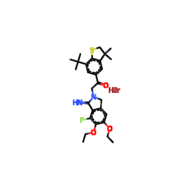 Br.CCOc1cc2c(c(F)c1OCC)C(=N)N(CC(=O)c1cc(C(C)(C)C)c3c(c1)C(C)(C)CS3)C2